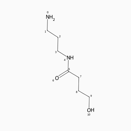 NCCCNC(=O)CCCO